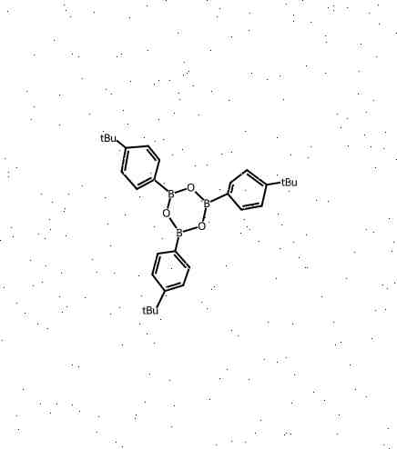 CC(C)(C)c1ccc(B2OB(c3ccc(C(C)(C)C)cc3)OB(c3ccc(C(C)(C)C)cc3)O2)cc1